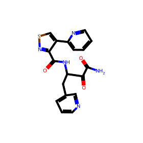 NC(=O)C(=O)C(Cc1cccnc1)NC(=O)c1nscc1-c1ccccn1